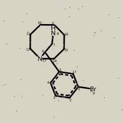 Brc1cccc(C2CNC3CCCN2CCC3)c1